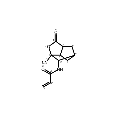 [C-]#[N+]C12OC(=O)C3CC(CC31)C2NC(=O)C=C